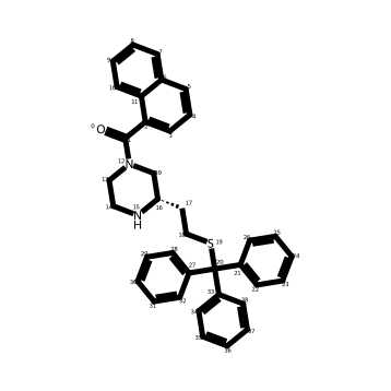 O=C(c1cccc2ccccc12)N1CCN[C@@H](CCSC(c2ccccc2)(c2ccccc2)c2ccccc2)C1